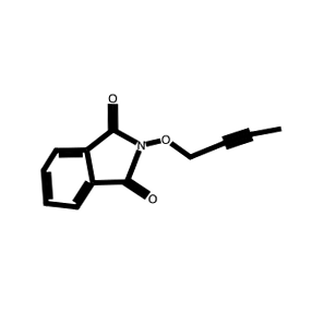 CC#CCON1C(=O)c2ccccc2C1=O